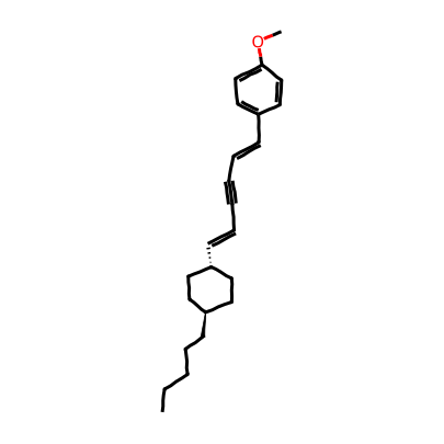 CCCCC[C@H]1CC[C@H](C=CC#CC=Cc2ccc(OC)cc2)CC1